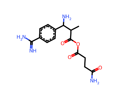 CC(C(=O)OC(=O)CCC(N)=O)C(N)c1ccc(C(=N)N)cc1